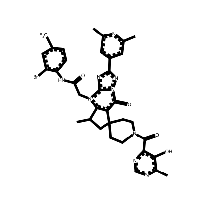 Cc1cc(-c2nc3n(CC(=O)Nc4ccc(C(F)(F)F)cc4Br)c4c(c(=O)n3n2)C2(CCN(C(=O)c3ncnc(C)c3O)CC2)CC4C)cc(C)n1